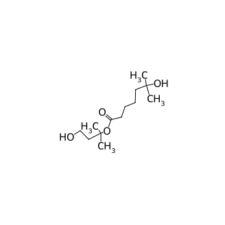 CC(C)(O)CCCCC(=O)OC(C)(C)CCO